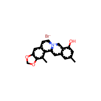 Cc1cc(O)c2c[n+]3ccc4cc5c(c(C)c4c3cc2c1)OCO5.[Br-]